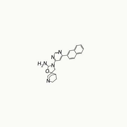 NC1OC2(CN3CCC2CC3)CN1c1cc(-c2ccc3ccccc3c2)ncn1